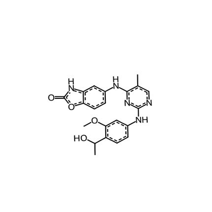 COc1cc(Nc2ncc(C)c(Nc3ccc4oc(=O)[nH]c4c3)n2)ccc1C(C)O